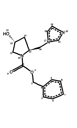 O=C(OCc1ccccc1)N1C[C@H](O)C[C@H]1Cn1ccnc1